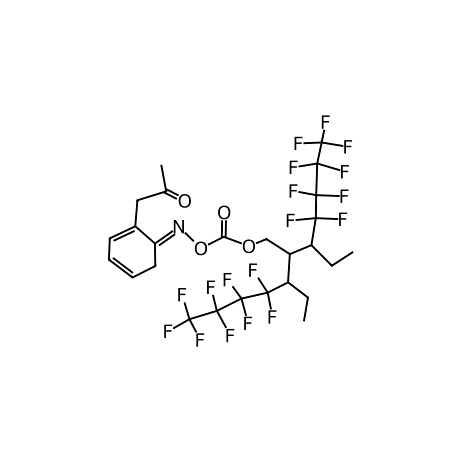 CCC(C(COC(=O)ON=C1CC=CC=C1CC(C)=O)C(CC)C(F)(F)C(F)(F)C(F)(F)C(F)(F)F)C(F)(F)C(F)(F)C(F)(F)C(F)(F)F